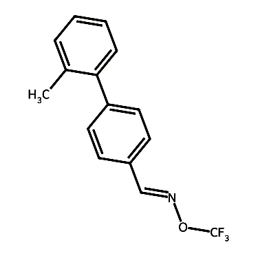 Cc1ccccc1-c1ccc(/C=N/OC(F)(F)F)cc1